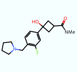 CNC(=O)C1CC(O)(c2ccc(CN3CCCC3)c(F)c2)C1